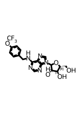 OC[C@H]1OC(n2cnc3c(NCc4ccc(OC(F)(F)F)cc4)ncnc32)[C@@H](O)[C@@H]1O